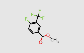 COC([O])c1ccc(F)c(C(F)(F)F)c1